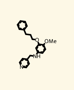 COc1ccc(NCc2ccncc2)cc1OCCCc1ccccc1